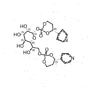 O=P1(OC[C@@H](O)[C@H]2O[C@@H](OP3(=O)OCC[C@H](c4ccncc4)O3)[C@@H](O)[C@@H](O)[C@@H]2O)OCC[C@@H](c2ccncc2)O1